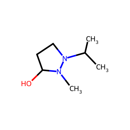 CC(C)N1CCC(O)N1C